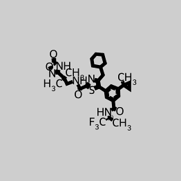 C[C@H](NC(=O)c1cc(-c2sc(C(=O)NCC(C)(C)c3noc(=O)[nH]3)nc2CC2CCCCC2)cc(C2(C)CC2)c1)C(F)(F)F